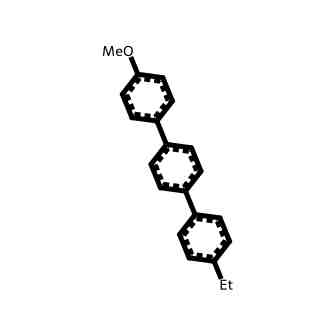 CCc1ccc(-c2ccc(-c3ccc(OC)cc3)cc2)cc1